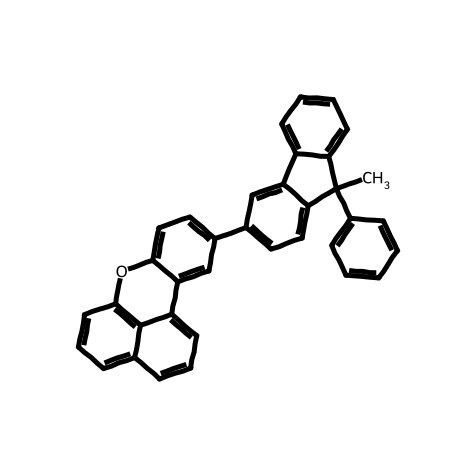 CC1(c2ccccc2)c2ccccc2-c2cc(-c3ccc4c(c3)-c3cccc5cccc(c35)O4)ccc21